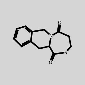 O=C1SCCC(=O)N2Cc3ccccc3CC12